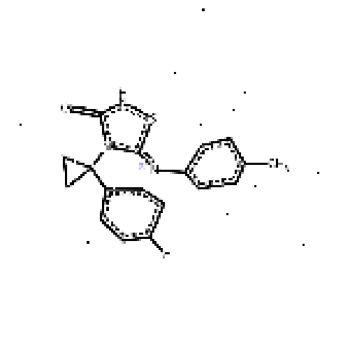 Cc1ccc(/N=c2\s[nH]c(=O)n2C2(c3ccc(Cl)cc3)CC2)cc1